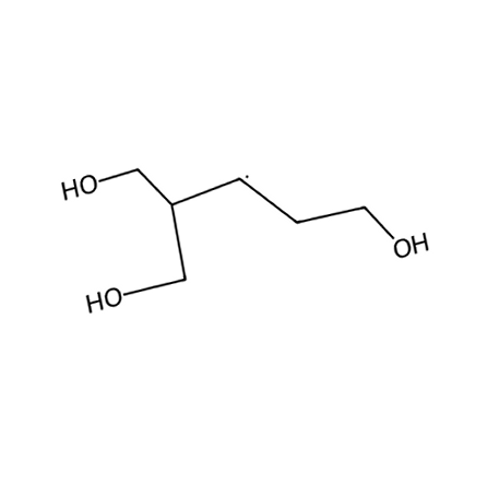 OCC[CH]C(CO)CO